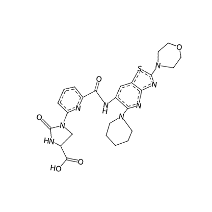 O=C(Nc1cc2sc(N3CCOCC3)nc2nc1N1CCCCC1)c1cccc(N2CC(C(=O)O)NC2=O)n1